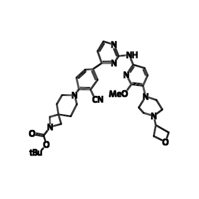 COc1nc(Nc2nccc(-c3ccc(N4CCC5(CC4)CN(C(=O)OC(C)(C)C)C5)c(C#N)c3)n2)ccc1N1CCN(C2COC2)CC1